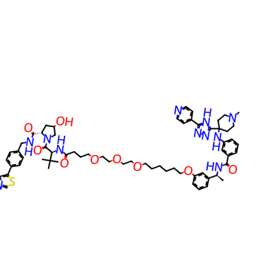 Cc1ncsc1-c1ccc(CNC(=O)[C@@H]2C[C@@H](O)CN2C(=O)[C@@H](NC(=O)CCCOCCOCCOCCCCCCOc2cccc([C@H](C)NC(=O)c3cccc(NC4(c5nnc(-c6ccncc6)[nH]5)CCN(C)CC4)c3)c2)C(C)(C)C)cc1